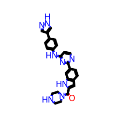 O=C(c1cc2ccc(-c3nccc(Nc4ccc(-c5cn[nH]c5)cc4)n3)cc2[nH]1)N1CCNCC1